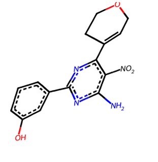 Nc1nc(-c2cccc(O)c2)nc(C2=CCOCC2)c1[N+](=O)[O-]